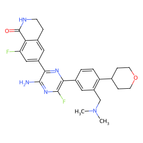 CN(C)Cc1cc(-c2nc(-c3cc(F)c4c(c3)CCNC4=O)c(N)nc2F)ccc1C1CCOCC1